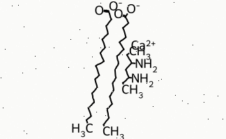 CCC(N)CC(N)CC.CCCCCCCCCCCCCCCCCC(=O)[O-].CCCCCCCCCCCCCCCCCC(=O)[O-].[Ca+2]